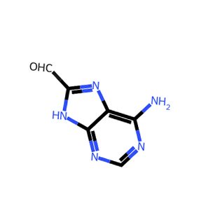 Nc1ncnc2[nH]c(C=O)nc12